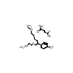 CCOCCCCC(=NOCCN)c1ccc(Cl)cc1.O=C(O)/C=C/C(=O)O